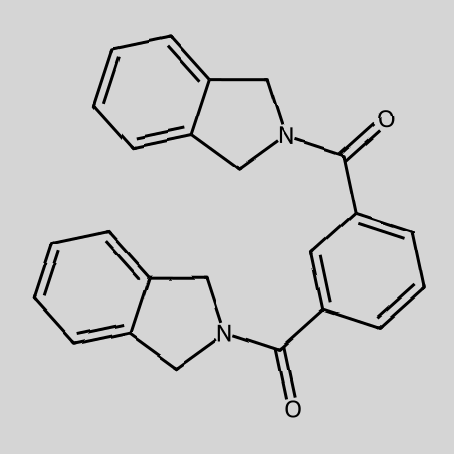 O=C(c1cccc(C(=O)N2Cc3ccccc3C2)c1)N1Cc2ccccc2C1